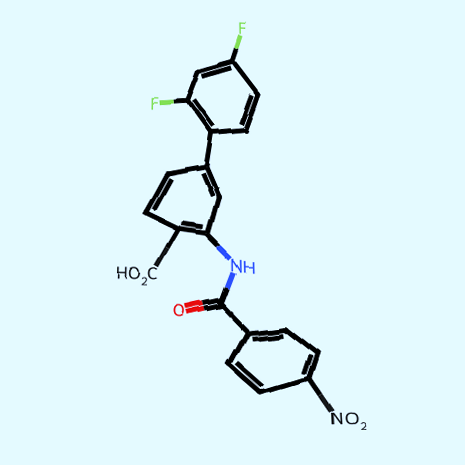 O=C(Nc1cc(-c2ccc(F)cc2F)ccc1C(=O)O)c1ccc([N+](=O)[O-])cc1